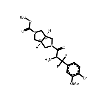 COc1cc(C(F)(F)C(N)C(=O)N2C[C@H]3CN(C(=O)OC(C)(C)C)C[C@H]3C2)ccc1Br